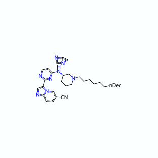 CCCCCCCCCCCCCCCCN1CCC[C@@H](Nc2ccnc(-c3cnc4ccc(C#N)cn34)n2)C1.c1nc2cn1-2